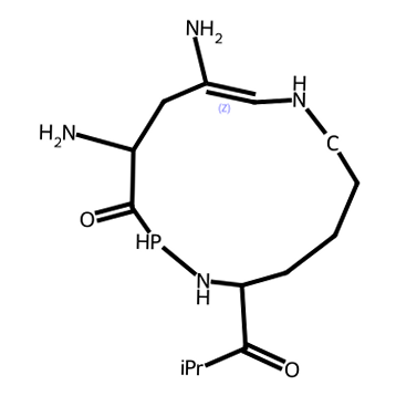 CC(C)C(=O)C1CCCCN/C=C(\N)CC(N)C(=O)PN1